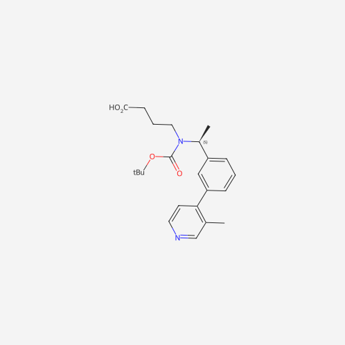 Cc1cnccc1-c1cccc([C@H](C)N(CCCC(=O)O)C(=O)OC(C)(C)C)c1